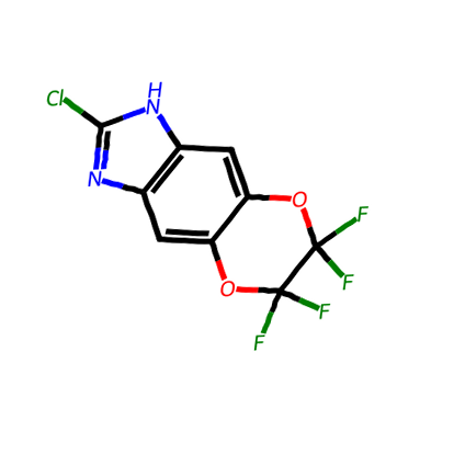 FC1(F)Oc2cc3nc(Cl)[nH]c3cc2OC1(F)F